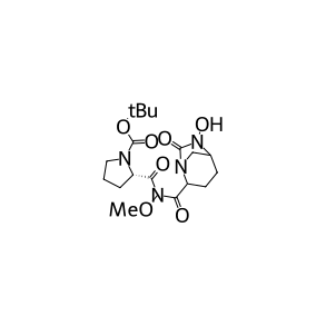 CON(C(=O)C1CCC2CN1C(=O)N2O)C(=O)[C@@H]1CCCN1C(=O)OC(C)(C)C